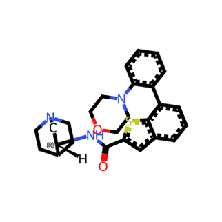 O=C(N[C@H]1CN2CCC1CC2)c1cc2cccc(-c3ccccc3N3CCOCC3)c2s1